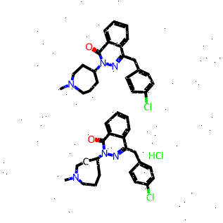 CN1CCCC(n2nc(Cc3ccc(Cl)cc3)c3ccccc3c2=O)CC1.CN1CCCC(n2nc(Cc3ccc(Cl)cc3)c3ccccc3c2=O)CC1.Cl